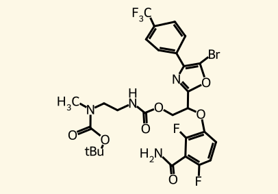 CN(CCNC(=O)OCC(Oc1ccc(F)c(C(N)=O)c1F)c1nc(-c2ccc(C(F)(F)F)cc2)c(Br)o1)C(=O)OC(C)(C)C